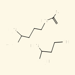 NC(=O)NCCCC(N)C(=O)O.NC(CCS)C(=O)O